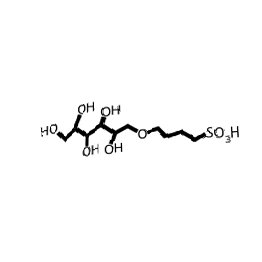 O=S(=O)(O)CCCCOCC(O)C(O)C(O)C(O)CO